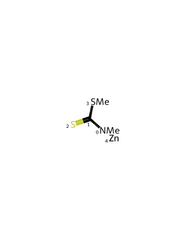 CNC(=S)SC.[Zn]